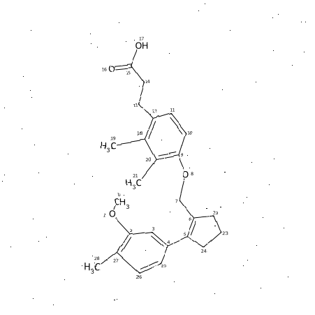 COc1cc(C2=C(COc3ccc(CCC(=O)O)c(C)c3C)CCC2)ccc1C